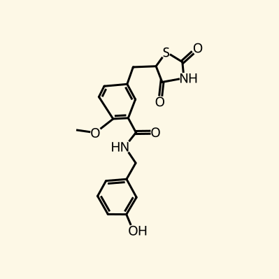 COc1ccc(CC2SC(=O)NC2=O)cc1C(=O)NCc1cccc(O)c1